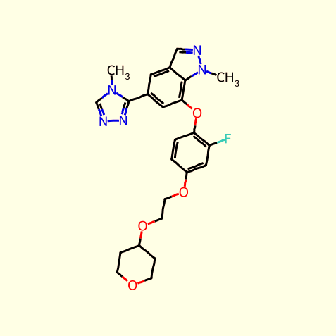 Cn1cnnc1-c1cc(Oc2ccc(OCCOC3CCOCC3)cc2F)c2c(cnn2C)c1